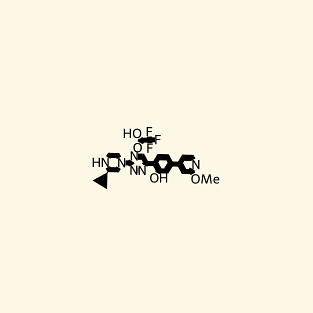 COc1cc(-c2ccc(-c3cnc(N4CCN[C@@H](C5CC5)C4)nn3)c(O)c2)ccn1.O=C(O)C(F)(F)F